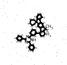 CC1(C)C2=C(C(c3cccc(C4=NC(c5ccccc5)=NC(c5ccccc5)N4)c3)=CCC2)c2cc3c(cc21)-c1ccccc1C31CCCCC1